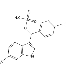 Cc1ccc2c(C(OS(C)(=O)=O)c3ccc(C(F)(F)F)cc3)c[nH]c2c1